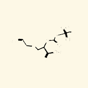 C=CCSCC(NC(=O)OC(C)(C)C)C(=O)O